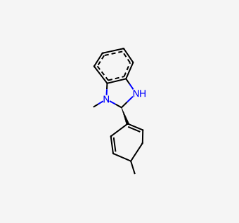 CC1C=CC([C@@H]2Nc3ccccc3N2C)=CC1